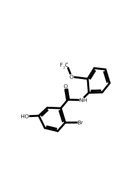 O=C(Nc1ccccc1OC(F)(F)F)c1cc(O)ccc1Br